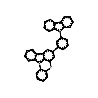 c1cc(-c2cc3c4c(c2)c2ccccc2n4-c2ccccc2O3)cc(-n2c3ccccc3c3ccccc32)c1